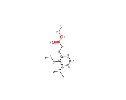 CCCc1c(CCC(=O)OCC)cccc1C(C)C